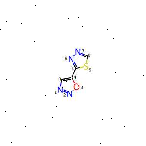 [c]1nnoc1-c1nncs1